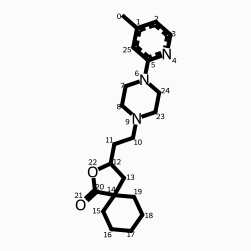 Cc1ccnc(N2CCN(CCC3CC4(CCCCC4)C(=O)O3)CC2)c1